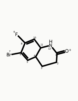 O=C1CCC2C=C(Br)C(F)=CC2N1